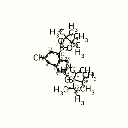 CC(C)[Si](Oc1cc2cc(Cl)cc(B3OC(C)(C)C(C)(C)O3)c2cn1)(C(C)C)C(C)C